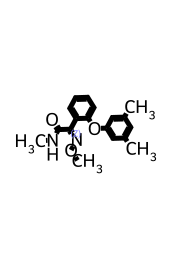 CNC(=O)/C(=N\OC)c1ccccc1Oc1cc(C)cc(C)c1